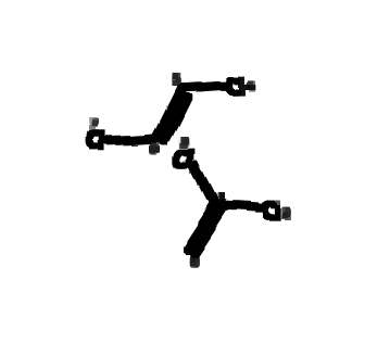 C=C(Cl)Cl.ClC=CCl